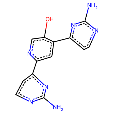 Nc1nccc(-c2cc(-c3ccnc(N)n3)c(O)cn2)n1